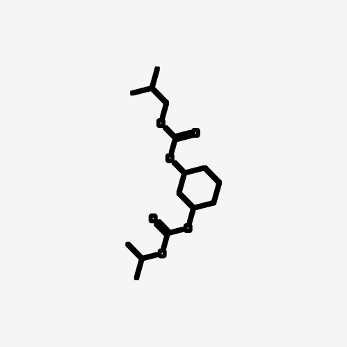 CC(C)COC(=O)OC1CCCC(OC(=O)OC(C)C)C1